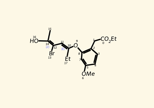 CCOC(=O)Cc1ccc(OC)cc1O/C(=C/C(Br)=C(\C)O)CC